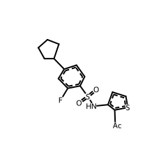 CC(=O)c1sccc1NS(=O)(=O)c1ccc(C2CCCC2)cc1F